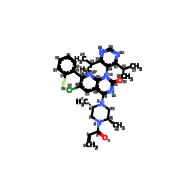 C=CC(=O)N1C[C@H](C)N(c2nc(=O)n(-c3c(C(C)C)ncnc3C(C)C)c3nc(-c4ccccc4F)c(Cl)cc23)C[C@H]1C